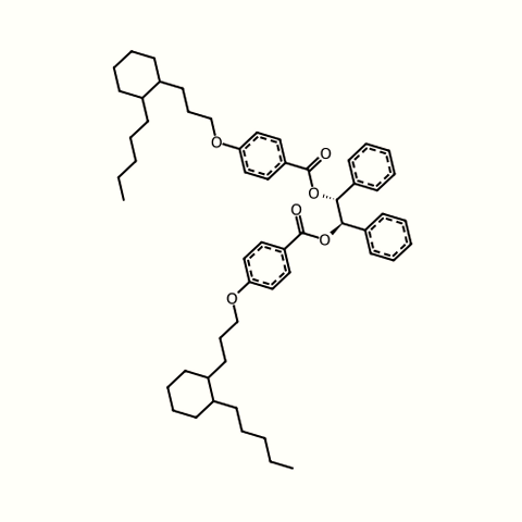 CCCCCC1CCCCC1CCCOc1ccc(C(=O)O[C@H](c2ccccc2)[C@H](OC(=O)c2ccc(OCCCC3CCCCC3CCCCC)cc2)c2ccccc2)cc1